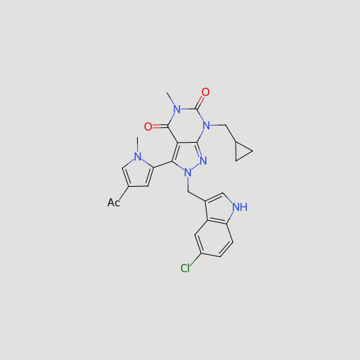 CC(=O)c1cc(-c2c3c(=O)n(C)c(=O)n(CC4CC4)c3nn2Cc2c[nH]c3ccc(Cl)cc23)n(C)c1